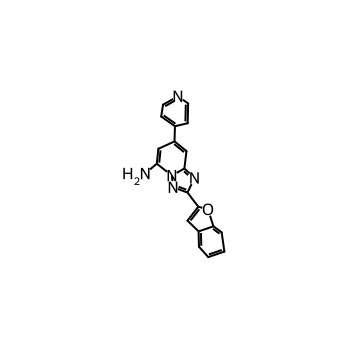 Nc1cc(-c2ccncc2)cc2nc(-c3cc4ccccc4o3)nn12